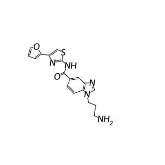 NCCCn1cnc2cc(C(=O)Nc3nc(-c4ccco4)cs3)ccc21